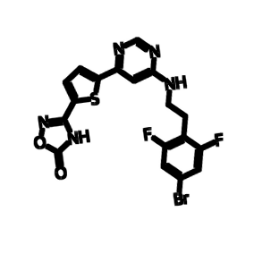 O=c1[nH]c(-c2ccc(-c3cc(NCCc4c(F)cc(Br)cc4F)ncn3)s2)no1